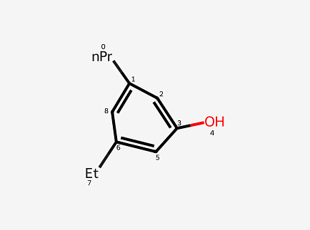 CCCc1cc(O)cc(CC)c1